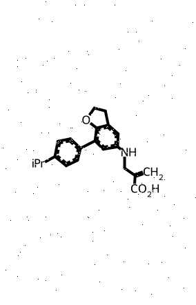 C=C(CNc1cc2c(c(-c3ccc(C(C)C)cc3)c1)OCC2)C(=O)O